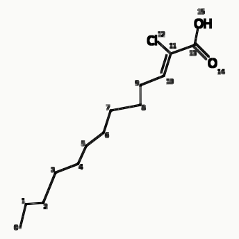 CCCCCCCCCCC=C(Cl)C(=O)O